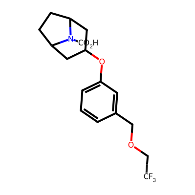 O=C(O)N1C2CCC1CC(Oc1cccc(COCC(F)(F)F)c1)C2